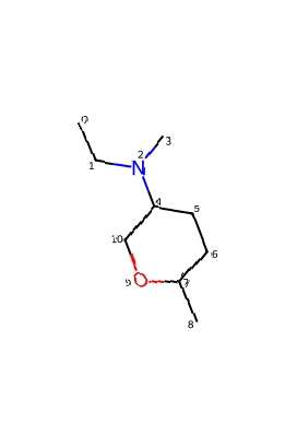 CCN(C)C1CCC(C)OC1